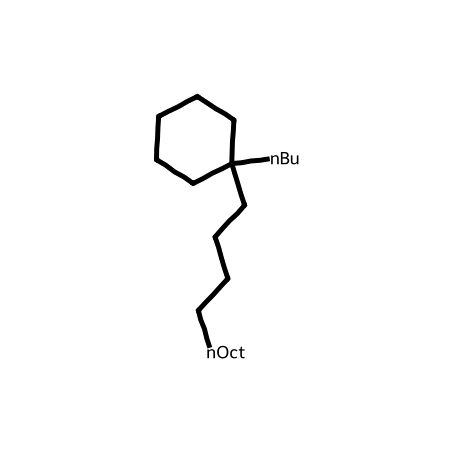 CCCCCCCCCCCCC1(CCCC)CCCCC1